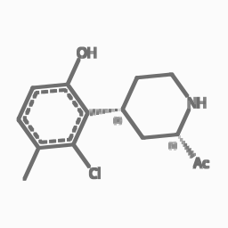 CC(=O)[C@@H]1C[C@H](c2c(O)ccc(C)c2Cl)CCN1